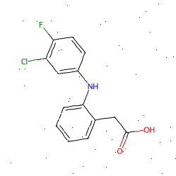 O=C(O)Cc1ccccc1Nc1ccc(F)c(Cl)c1